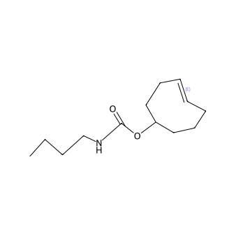 CCCCNC(=O)OC1CC/C=C/CCC1